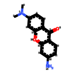 CN(C)c1ccc2c(=O)c3ccc(N)cc3oc2c1